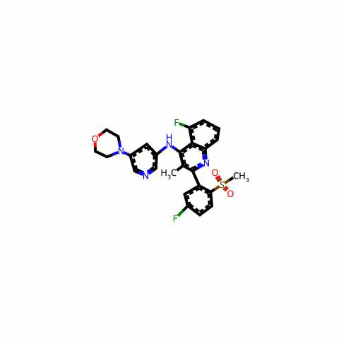 Cc1c(-c2cc(F)ccc2S(C)(=O)=O)nc2cccc(F)c2c1Nc1cncc(N2CCOCC2)c1